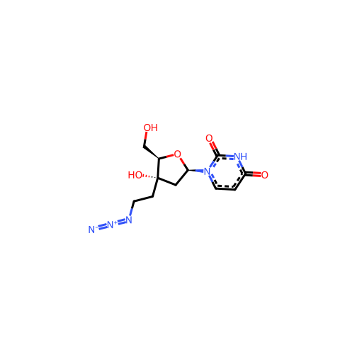 [N-]=[N+]=NCC[C@]1(O)C[C@H](n2ccc(=O)[nH]c2=O)O[C@@H]1CO